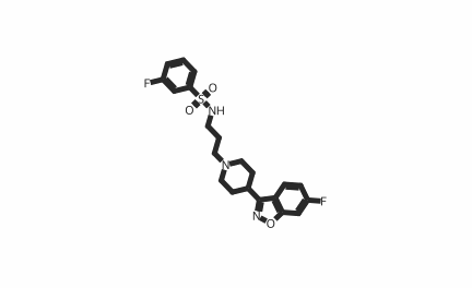 O=S(=O)(NCCCN1CCC(c2noc3cc(F)ccc23)CC1)c1cccc(F)c1